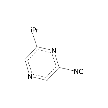 [C-]#[N+]c1cncc(C(C)C)n1